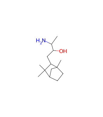 CC(N)C(O)CC1C2(C)CCC(C2)C1(C)C